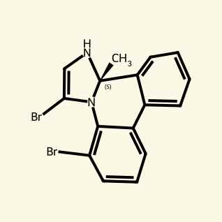 C[C@]12NC=C(Br)N1c1c(Br)cccc1-c1ccccc12